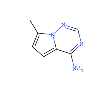 Cc1ccc2c(N)ncnn12